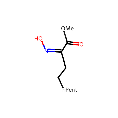 CCCCCCCC(=NO)C(=O)OC